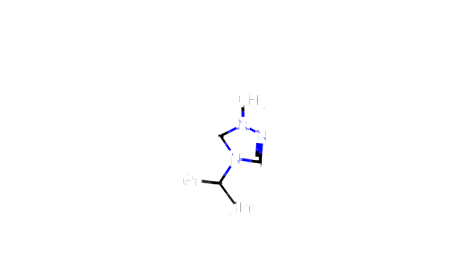 CC(C)C(C(C)C)N1C=NN(C)C1